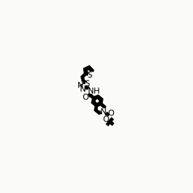 CC(C)(C)OC(=O)N1CCc2cc(C(=O)Nc3nnc(Cc4cccs4)s3)ccc2C1